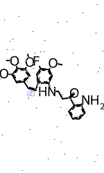 COc1cc(NCCC(=O)c2ccccc2N)c(/C=C\c2cc(OC)c(OC)c(OC)c2)cc1F